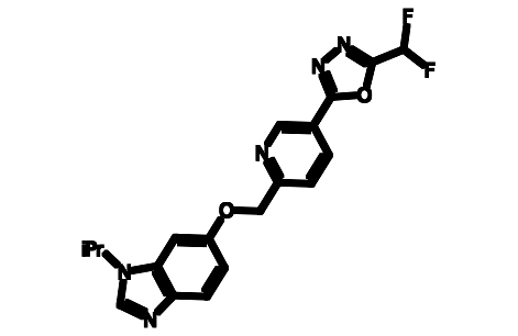 CC(C)n1cnc2ccc(OCc3ccc(-c4nnc(C(F)F)o4)cn3)cc21